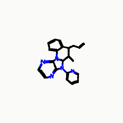 C=CCC1c2ccccc2N2c3nccnc3N(c3ccccn3)C2C1C